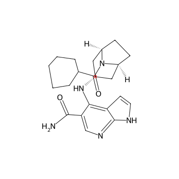 NC(=O)c1cnc2[nH]ccc2c1N[C@@H]1C[C@H]2CC[C@@H](C1)N2C(=O)C1CCCCC1